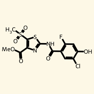 COC(=O)c1nc(NC(=O)c2cc(Cl)c(O)cc2F)sc1S(C)(=O)=O